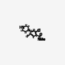 CNC(=O)c1cc(F)c(N2CCNCC2)cc1Cl